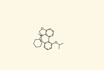 CC(C)Oc1cccc(OC(C)C)c1-c1cccc2c1P(C1CCCCC1)CO2